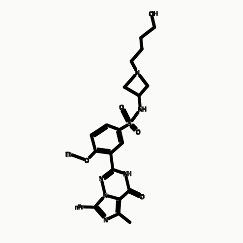 CCCc1nc(C)c2c(=O)[nH]c(-c3cc(S(=O)(=O)NC4CN(CCCCO)C4)ccc3OCC)nn12